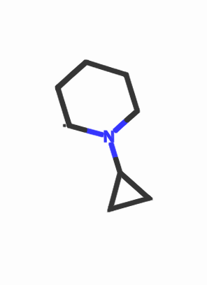 [CH]1CCCCN1C1CC1